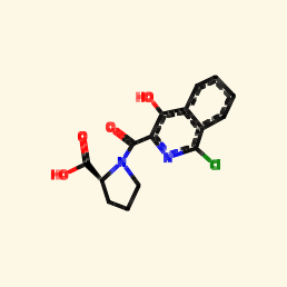 O=C(O)[C@@H]1CCCN1C(=O)c1nc(Cl)c2ccccc2c1O